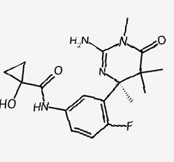 CN1C(=O)C(C)(C)[C@@](C)(c2cc(NC(=O)C3(O)CC3)ccc2F)N=C1N